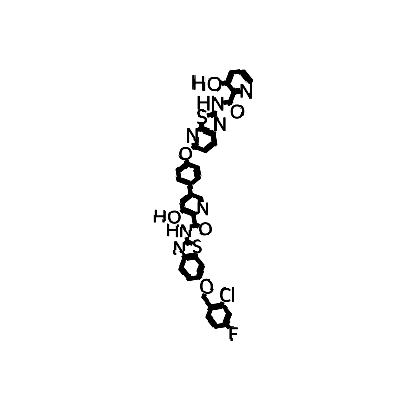 O=C(Nc1nc2ccc(OCc3ccc(F)cc3Cl)cc2s1)c1ncc(-c2ccc(Oc3ccc4nc(NC(=O)c5ncccc5O)sc4n3)cc2)cc1O